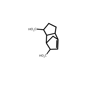 O=C(O)C1C=C2CC1C1C(C(=O)O)CCC21